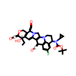 CC[C@@]1(O)C(=C=O)OCC2=C1C=C1C3=C(CN1C2=C=O)N1CCC(N(C(=O)OC(C)(C)C)C2CC2)c2cc(F)cc(c21)C3=C=O